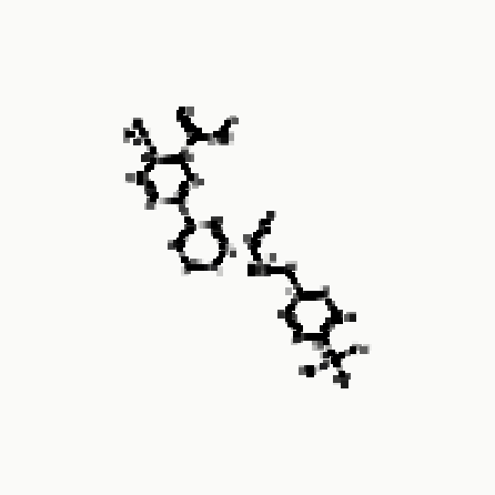 CNC(=O)c1nc(-c2cccc(C(=O)NCc3ccc(C(F)(F)F)nc3)c2)cnc1N